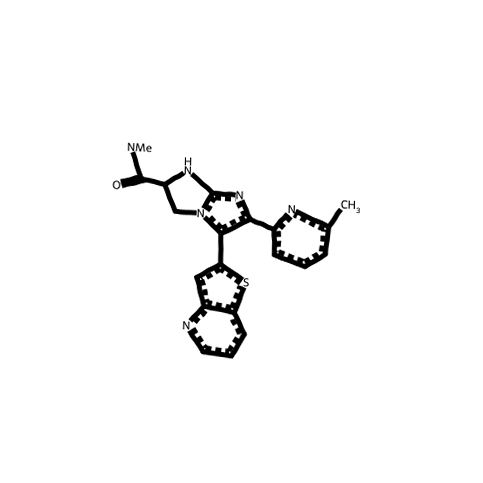 CNC(=O)C1Cn2c(nc(-c3cccc(C)n3)c2-c2cc3ncccc3s2)N1